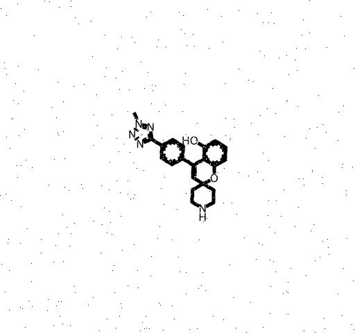 Cn1nnc(-c2ccc(C3=CC4(CCNCC4)Oc4cccc(O)c43)cc2)n1